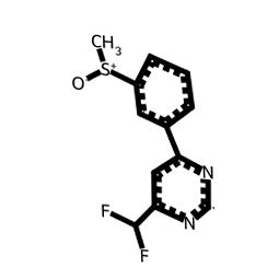 C[S+]([O-])c1cccc(-c2cc(C(F)F)n[c]n2)c1